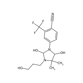 CC1(C)C(O)N(c2ccc(C#N)c(C(F)(F)F)c2)C(O)N1CCCO